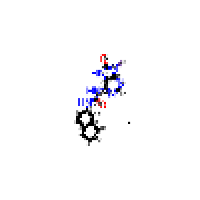 O=C(Nc1ccc2ccccc2c1)Nc1ncnc2c1[nH]c(=O)n2I